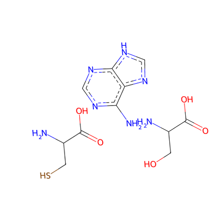 NC(CO)C(=O)O.NC(CS)C(=O)O.Nc1ncnc2[nH]cnc12